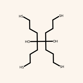 OC(CCCS)(CCCS)C(O)(CCCS)CCCS